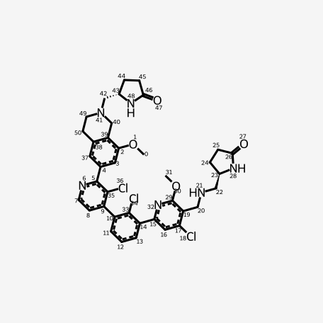 COc1cc(-c2nccc(-c3cccc(-c4cc(Cl)c(CNC[C@H]5CCC(=O)N5)c(OC)n4)c3Cl)c2Cl)cc2c1CN(C[C@@H]1CCC(=O)N1)CC2